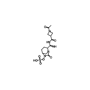 CC(=O)N1CC(C(=O)NC(=N)C2CCC3CN2C(=O)N3OS(=O)(=O)O)C1